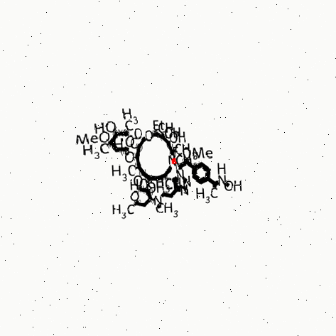 CC[C@H]1OC(=O)[C@H](C)[C@@H](O[C@H]2C[C@@](C)(OC)[C@@H](O)[C@H](C)O2)[C@H](C)[C@@H](O[C@@H]2O[C@H](C)C[C@H](N(C)CCc3cn([C@H](CF)[C@H](OC)c4ccc(C(C)NO)cc4)nn3)[C@H]2O)[C@](C)(O)C[C@@H](C)CN(C)[C@H](C)[C@@H](O)[C@]1(C)O